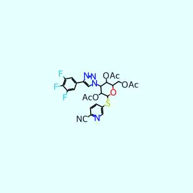 CC(=O)OCC1OC(Sc2ccc(C#N)nc2)C(OC(C)=O)C(n2cc(-c3cc(F)c(F)c(F)c3)nn2)C1OC(C)=O